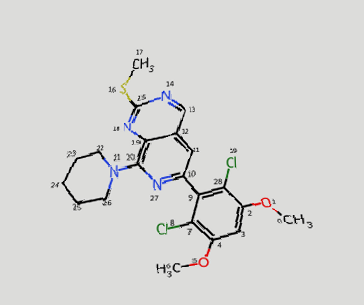 COc1cc(OC)c(Cl)c(-c2cc3cnc(SC)nc3c(N3CCCCC3)n2)c1Cl